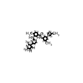 [2H]c1nc([2H])c(-c2ccnc(Nc3cc(C(=O)Nc4cc(C)cc(-n5cnc(C)c5)c4)ccc3C)n2)c([2H])c1[2H]